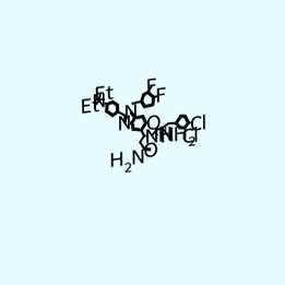 [CH2]CN(C[CH2])c1ccc(-c2nc3cc(C(CC(N)=O)NC(=O)[C@@H](N)Cc4ccc(Cl)c(Cl)c4)ccc3n2Cc2ccc(F)c(F)c2)cc1